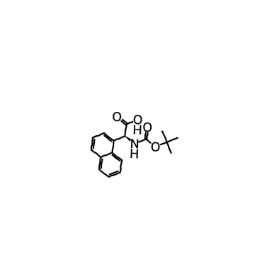 CC(C)(C)OC(=O)N[C@H](C(=O)O)c1cccc2ccccc12